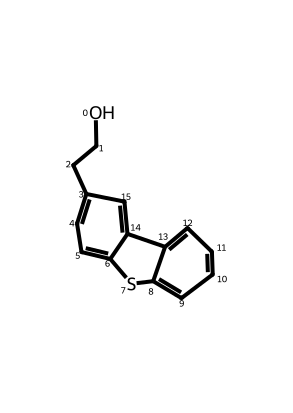 OCCc1ccc2sc3ccccc3c2c1